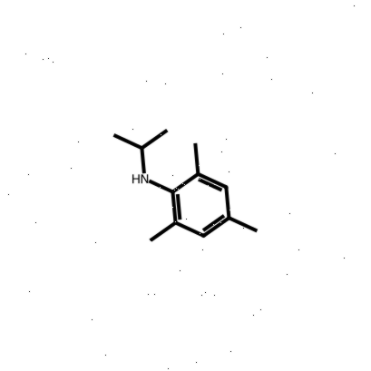 Cc1cc(C)c(NC(C)C)c(C)c1